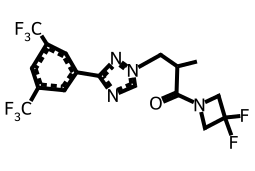 CC(Cn1cnc(-c2cc(C(F)(F)F)cc(C(F)(F)F)c2)n1)C(=O)N1CC(F)(F)C1